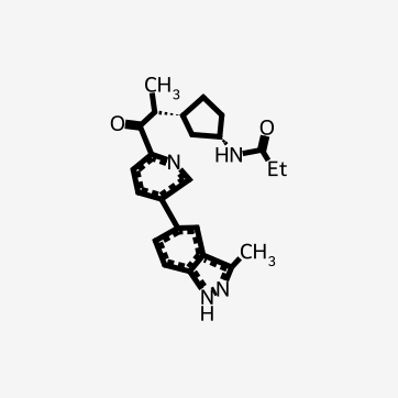 CCC(=O)N[C@H]1CC[C@@H](C(C)C(=O)c2ccc(-c3ccc4[nH]nc(C)c4c3)cn2)C1